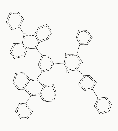 c1ccc(-c2ccc(-c3nc(-c4ccccc4)nc(-c4cc(-c5c6ccccc6c(-c6ccccc6)c6ccccc56)cc(-c5c6ccccc6c(-c6ccccc6)c6ccccc56)c4)n3)cc2)cc1